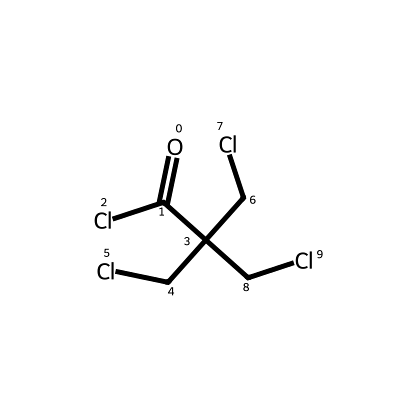 O=C(Cl)C(CCl)(CCl)CCl